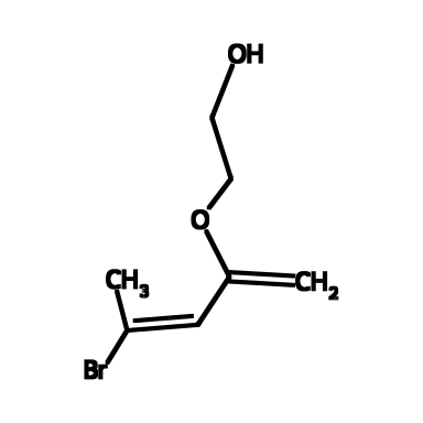 C=C(/C=C(\C)Br)OCCO